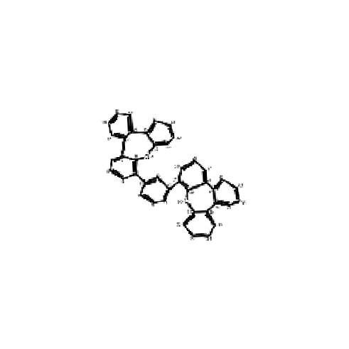 c1cc(-c2cccc3c2Oc2ccccc2-c2ccccc2-3)cc(-c2cccc3c2Oc2ccccc2-c2ccccc2-3)c1